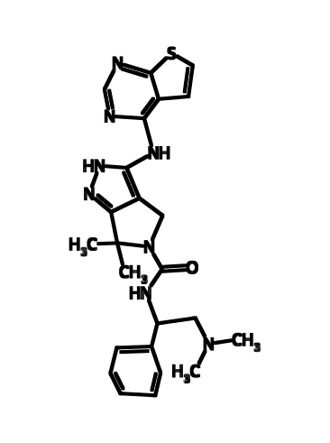 CN(C)CC(NC(=O)N1Cc2c(n[nH]c2Nc2ncnc3sccc23)C1(C)C)c1ccccc1